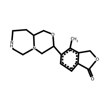 Cc1c(C2CN3CCNCCC3CO2)ccc2c1COC2=O